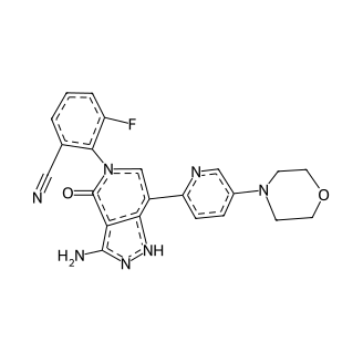 N#Cc1cccc(F)c1-n1cc(-c2ccc(N3CCOCC3)cn2)c2[nH]nc(N)c2c1=O